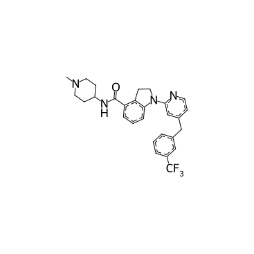 CN1CCC(NC(=O)c2cccc3c2CCN3c2cc(Cc3cccc(C(F)(F)F)c3)ccn2)CC1